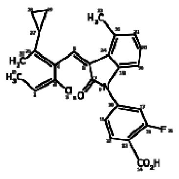 C/C=C(/Cl)C(/C=C1\C(=O)N(c2ccc(C(=O)O)c(F)c2)c2cccc(C)c21)=C(C)C1CC1